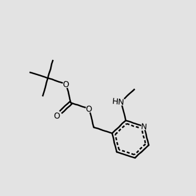 CNc1ncccc1COC(=O)OC(C)(C)C